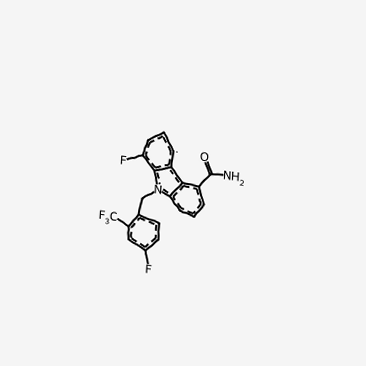 NC(=O)c1cccc2c1c1[c]ccc(F)c1n2Cc1ccc(F)cc1C(F)(F)F